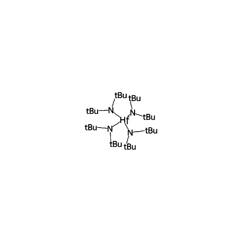 CC(C)(C)[N](C(C)(C)C)[Hf]([N](C(C)(C)C)C(C)(C)C)([N](C(C)(C)C)C(C)(C)C)[N](C(C)(C)C)C(C)(C)C